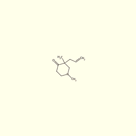 C=CCC1(C)CN(C)CCC1=O